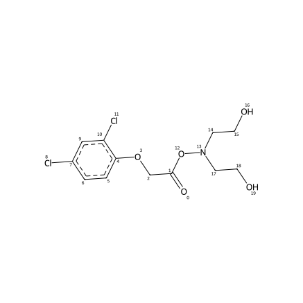 O=C(COc1ccc(Cl)cc1Cl)ON(CCO)CCO